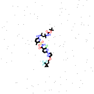 Cc1ccc(NC(C)CC(C)(C)NC(=O)OC(C)(C)C)nc1S(=O)(=O)NC(=O)c1ccc(-n2ccc(OCCC3(C(F)(F)F)CC3)n2)nc1Cl